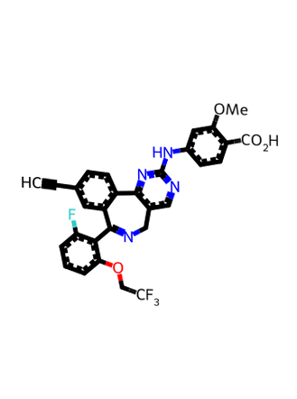 C#Cc1ccc2c(c1)C(c1c(F)cccc1OCC(F)(F)F)=NCc1cnc(Nc3ccc(C(=O)O)c(OC)c3)nc1-2